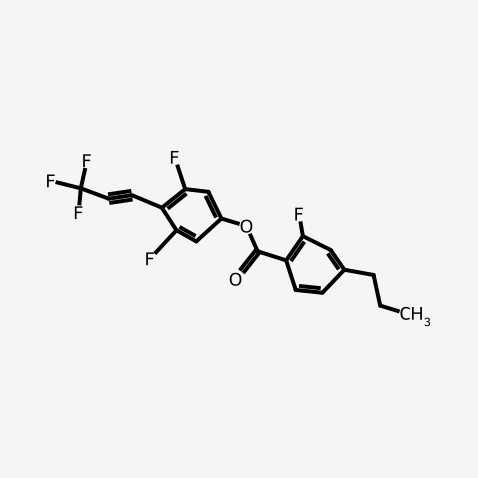 CCCc1ccc(C(=O)Oc2cc(F)c(C#CC(F)(F)F)c(F)c2)c(F)c1